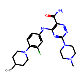 CN1CCN(c2nnc(C(N)=O)c(Nc3ccc(N4CCC(C=O)CC4)c(F)c3)n2)CC1